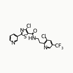 O=C(NCCc1ncc(C(F)(F)F)cc1Cl)c1sc(-c2cccnc2)nc1Cl